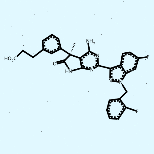 C[C@@]1(c2cccc(CCC(=O)O)c2)C(=O)Nc2nc(-c3nn(Cc4ccccc4F)c4cc(F)ccc34)nc(N)c21